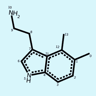 Cc1ccc2[nH]cc(CCN)c2c1C